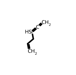 C=C=[SiH]CC=C